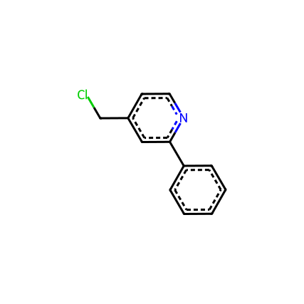 ClCc1ccnc(-c2ccccc2)c1